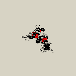 COC1=C(O)C2C(C=C1C)CC1(O)CN(C)[C@@H]2[C@@H]2[C@@H]3SC[C@]4(N[C@@H](CN)Cc5c4[nH]c4cccc(C6Oc7c(C)c(OC(C)=O)c8c(c7O6)C6COC(=O)[C@]7(CS[C@H]8[C@H]8C9c%10c(cc(C)c(OC)c%10O)CC(O)(CN9C)N68)N[C@H](CO)Cc6c7oc7ccccc67)c54)C(=O)OCC(c4c5c(c(C)c(OC(C)=O)c43)OCO5)N21